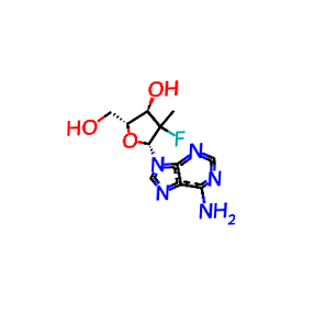 CC1(F)[C@H](O)[C@@H](CO)O[C@H]1n1cnc2c(N)ncnc21